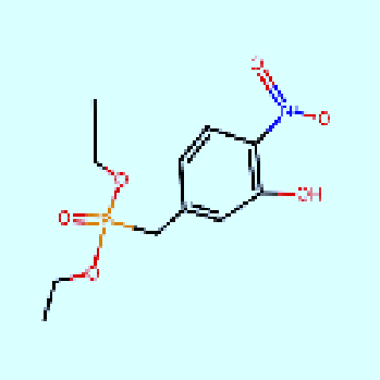 CCOP(=O)(Cc1ccc([N+](=O)[O-])c(O)c1)OCC